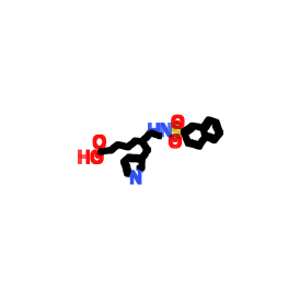 O=C(O)CCCCC(CCNS(=O)(=O)c1ccc2ccccc2c1)Cc1cccnc1